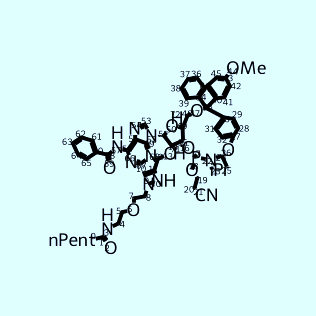 CCCCCC(=O)NCCOCCn1cc(CO[C@@H]2[C@@H]3OP(OCCC#N)N(C(C)C)C(C)Oc4ccc(cc4)C(c4ccccc4)(c4ccc(OC)cc4)OC[C@H]3O[C@H]2n2cnc3c(NC(=O)c4ccccc4)ncnc32)[nH]1